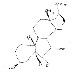 CCC[C@@H](C)[C@H]1CCC2C3C(CC[C@@]21C)[C@@]1(C)CC[C@H](O)C[C@H]1[C@@H](CC)[C@H]3O